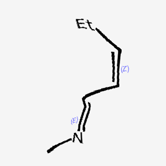 CC/C=C\C=N\C